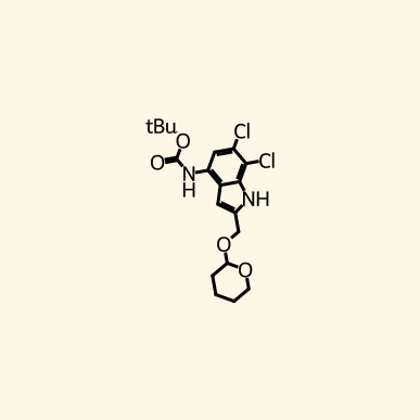 CC(C)(C)OC(=O)Nc1cc(Cl)c(Cl)c2[nH]c(COC3CCCCO3)cc12